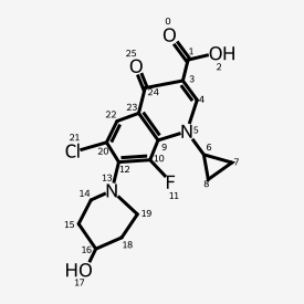 O=C(O)c1cn(C2CC2)c2c(F)c(N3CCC(O)CC3)c(Cl)cc2c1=O